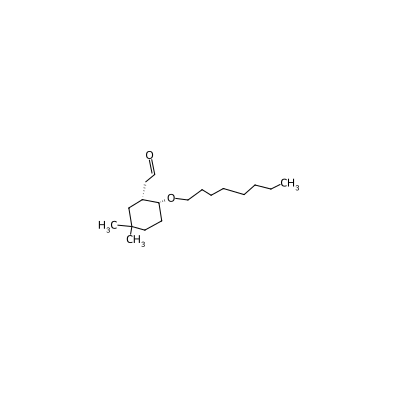 CCCCCCCCO[C@@H]1CCC(C)(C)C[C@@H]1CC=O